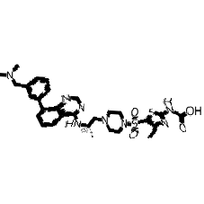 Cc1nc(NC(=O)O)sc1S(=O)(=O)N1CCN(C[C@H](C)Nc2ncnc3c(-c4cccc(CN(C)C)c4)cccc23)CC1